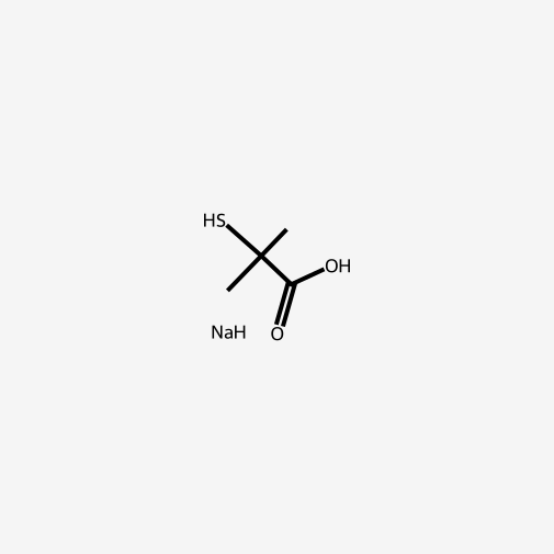 CC(C)(S)C(=O)O.[NaH]